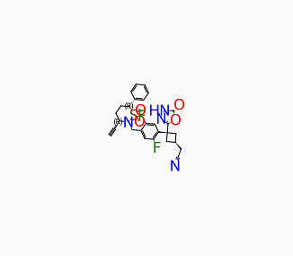 C#C[C@H]1CC[C@H](c2ccccc2)S(=O)(=O)N1Cc1cc(F)c([C@]2(c3n[nH]c(=O)o3)C[C@H](CC#N)C2)cc1F